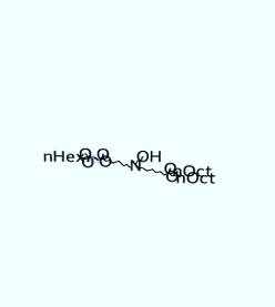 CCCCCCCCC(CCCCCCCC)OC(=O)CCCCCCCN(CCO)CCCCCCOC(=O)/C=C/C(=O)OCCCCCC